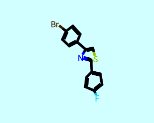 Fc1ccc(-c2nc(-c3ccc(Br)cc3)cs2)cc1